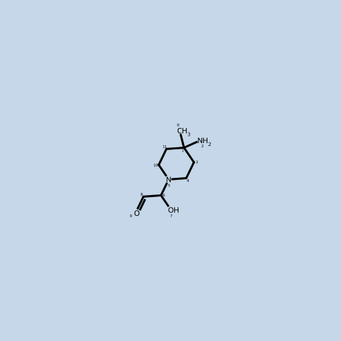 CC1(N)CCN(C(O)C=O)CC1